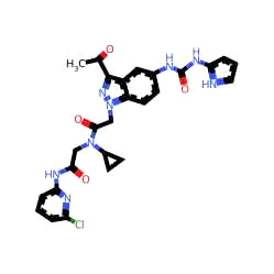 CC(=O)c1nn(CC(=O)N(CC(=O)Nc2cccc(Cl)n2)C2CC2)c2ccc(NC(=O)Nc3ccc[nH]3)cc12